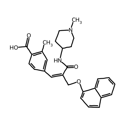 Cc1cc(C=C(COc2cccc3ccccc23)C(=O)NC2CCN(C)CC2)ccc1C(=O)O